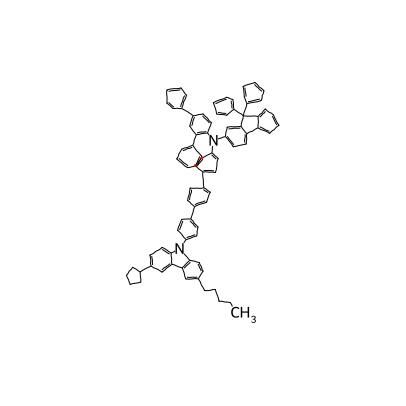 CCCCCc1ccc2c(c1)c1cc(C3CCCC3)ccc1n2-c1ccc(-c2ccc(-c3ccc(N(c4ccc5c(c4)C(c4ccccc4)(c4ccccc4)c4ccccc4-5)c4ccc(-c5ccccc5)cc4-c4ccccc4)cc3)cc2)cc1